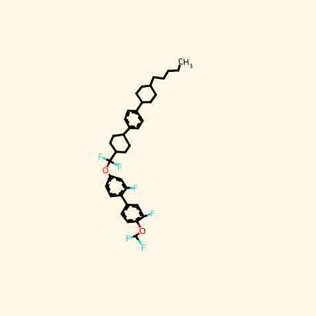 CCCCCC1CCC(c2ccc(C3CCC(C(F)(F)Oc4ccc(-c5ccc(OC(F)F)c(F)c5)c(F)c4)CC3)cc2)CC1